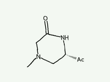 CC(=O)[C@@H]1CN(C)CC(=O)N1